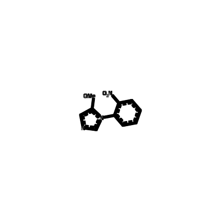 COc1cncn1-c1ccccc1[N+](=O)[O-]